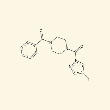 O=C(c1ccccc1)N1CCN(C(=O)n2cc(I)cn2)CC1